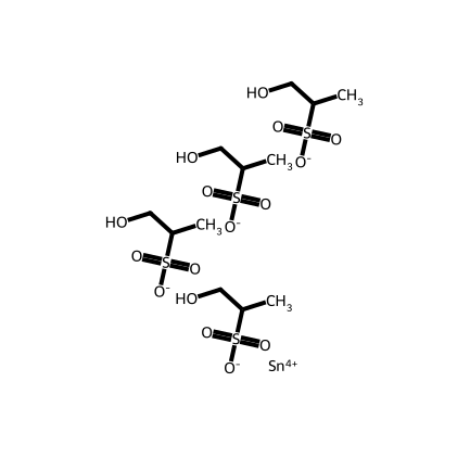 CC(CO)S(=O)(=O)[O-].CC(CO)S(=O)(=O)[O-].CC(CO)S(=O)(=O)[O-].CC(CO)S(=O)(=O)[O-].[Sn+4]